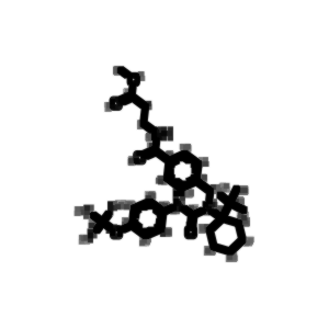 COC(=O)CCNC(=O)c1ccc(CN(C(=O)Nc2ccc(OC(F)(F)F)cc2)C2(C(C)(C)C)CCCCC2)cc1